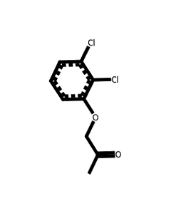 CC(=O)COc1cccc(Cl)c1Cl